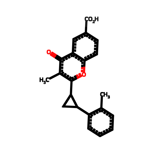 Cc1ccccc1C1CC1c1oc2ccc(C(=O)O)cc2c(=O)c1C